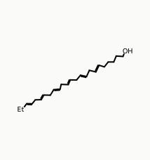 CCC=CCC=CCC=CCC=CCC=CCC=CCCCCCO